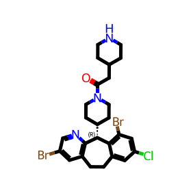 O=C(CC1CCNCC1)N1CCC([C@H]2c3ncc(Br)cc3CCc3cc(Cl)cc(Br)c32)CC1